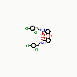 O=C(NCCc1ccc(Cl)cc1Cl)c1cccc2c1S(=O)(=O)c1c(cccc1C(=O)NCCc1ccc(Cl)cc1Cl)O2